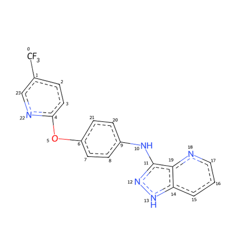 FC(F)(F)c1ccc(Oc2ccc(Nc3n[nH]c4cccnc34)cc2)nc1